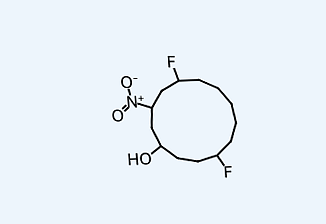 O=[N+]([O-])C1CC(O)CCC(F)CCCCCC(F)C1